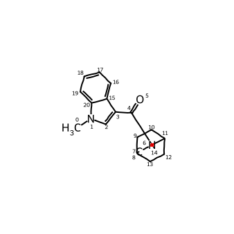 Cn1cc(C(=O)N2CC3CCC(CC3)C2)c2ccccc21